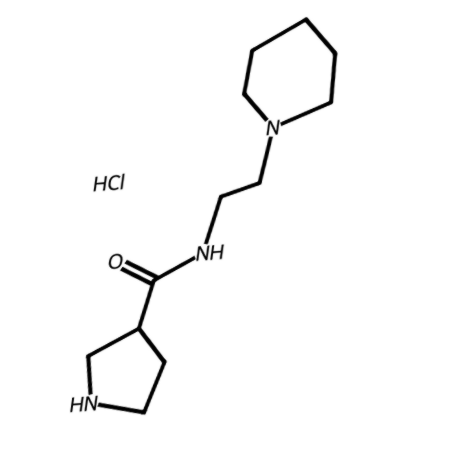 Cl.O=C(NCCN1CCCCC1)C1CCNC1